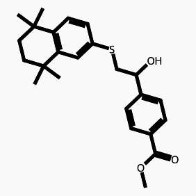 COC(=O)c1ccc(C(O)CSc2ccc3c(c2)C(C)(C)CCC3(C)C)cc1